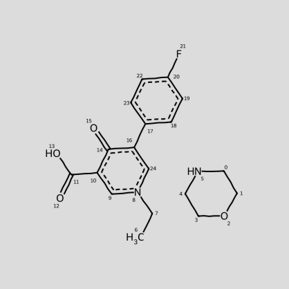 C1COCCN1.CCn1cc(C(=O)O)c(=O)c(-c2ccc(F)cc2)c1